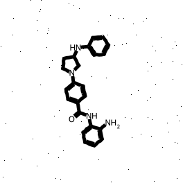 Nc1ccccc1NC(=O)c1ccc(N2CCC(Nc3ccccc3)C2)cc1